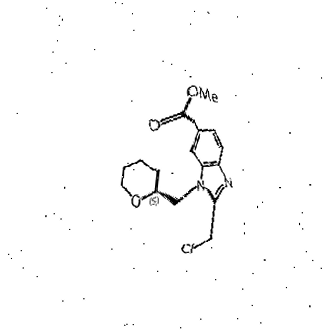 COC(=O)c1ccc2nc(CCl)n(C[C@@H]3CCCCO3)c2c1